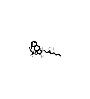 CCCCC[C@@H](O)CC[C@@H]1[C@H]2Cc3cccc4c3C[C@H]2C[C@H]1OC(=O)CO4